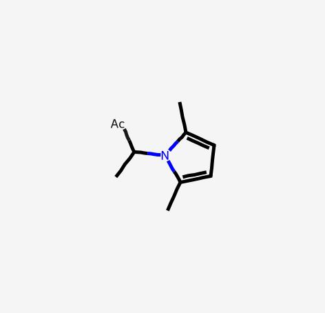 CC(=O)C(C)n1c(C)ccc1C